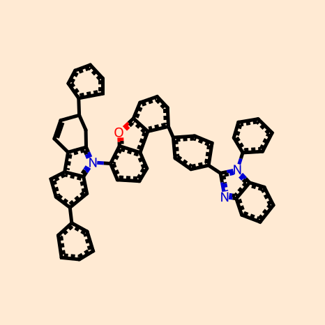 C1=CC(c2ccccc2)Cc2c1c1ccc(-c3ccccc3)cc1n2-c1cccc2c1oc1cccc(-c3ccc(-c4nc5ccccc5n4-c4ccccc4)cc3)c12